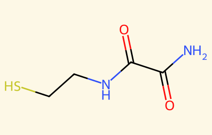 NC(=O)C(=O)NCCS